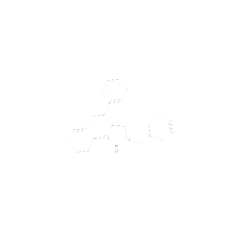 O=C1N(Cc2ccccc2)CC2C(c3ccccc3)Oc3ccccc3N12